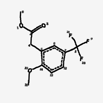 COC(=O)Cc1cc(C(F)(F)F)ccc1OC